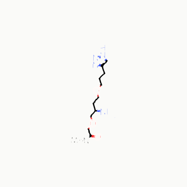 CNC(=O)COCC(N)CCOCCCc1c[nH]nn1